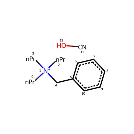 CCC[N+](CCC)(CCC)Cc1ccccc1.N#CO